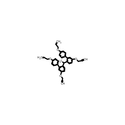 C#CCOc1ccc(C(C)c2ccc(OCC#C)cc2-c2ccc(OCC=C)cc2)c(-c2ccc(OCC=C)cc2)c1